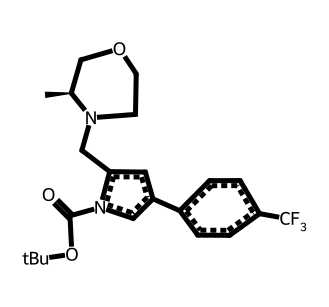 C[C@H]1COCCN1Cc1cc(-c2ccc(C(F)(F)F)cc2)cn1C(=O)OC(C)(C)C